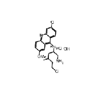 COc1ccc2nc3cc(Cl)ccc3c(NC(CN)CC(C)CCCl)c2c1.Cl.Cl